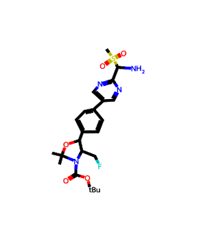 CC(C)(C)OC(=O)N1C(CF)C(c2ccc(-c3cnc(C(N)S(C)(=O)=O)nc3)cc2)OC1(C)C